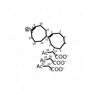 C1=CCCCCCC1.C1=CCCCCCC1.CC(=O)CC(=O)[O-].CC(=O)CC(=O)[O-].CC(=O)CC(=O)[O-].[Rh+3]